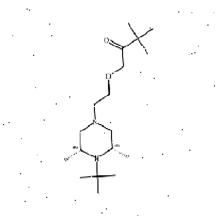 C[C@@H]1CN(CCOCC(=O)C(C)(C)C)C[C@H](C)N1C(C)(C)C